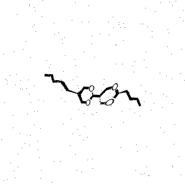 CCCCC[C@H]1CO[C@H]([C@H]2CO[C@H](CCCC)OC2)OC1